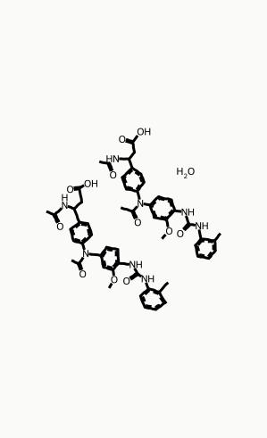 COc1cc(N(C(C)=O)c2ccc(C(CC(=O)O)NC(C)=O)cc2)ccc1NC(=O)Nc1ccccc1C.COc1cc(N(C(C)=O)c2ccc(C(CC(=O)O)NC(C)=O)cc2)ccc1NC(=O)Nc1ccccc1C.O